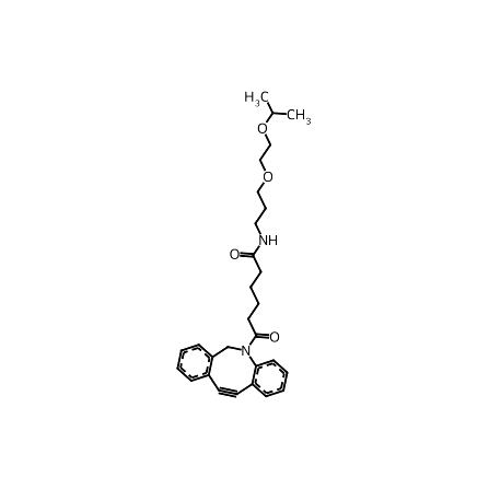 CC(C)OCCOCCCNC(=O)CCCCC(=O)N1Cc2ccccc2C#Cc2ccccc21